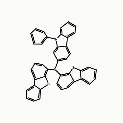 c1ccc(-n2c3ccccc3c3ccc(N(c4cccc5c4sc4ccccc45)c4cccc5c4sc4ccccc45)cc32)cc1